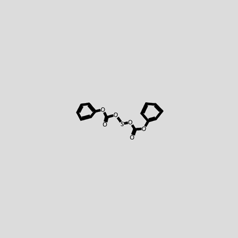 O=C(OSOC(=O)Oc1ccccc1)Oc1ccccc1